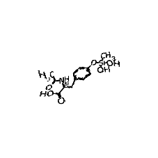 CC(=O)N[C@@H](Cc1ccc(O[Si](C)(O)O)cc1)C(=O)O